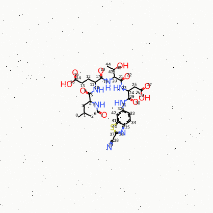 CC(C)CC(NC=O)C(=O)NC(CCC(=O)O)C(=O)NC(C(=O)NC(CC(=O)O)C(=O)Nc1ccc2nc(C#N)sc2c1)C(C)O